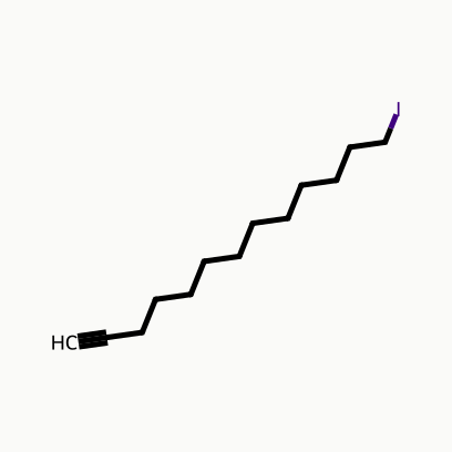 C#CCCCCCCCCCCCI